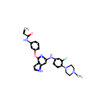 C=CC(=O)Nc1cccc(Oc2nc(Nc3ccc(N4CCN(C)CC4)c(F)c3)cc3[nH]ccc23)c1